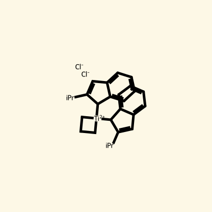 CC(C)C1=Cc2ccccc2[CH]1[Ti+2]1([CH]2C(C(C)C)=Cc3ccccc32)[CH2]C[CH2]1.[Cl-].[Cl-]